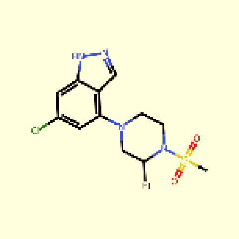 CCC1CN(c2cc(Cl)cc3[nH]ncc23)CCN1S(C)(=O)=O